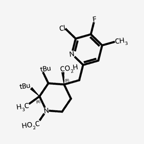 Cc1cc(C[C@]2(C(=O)O)CCN(C(=O)O)[C@@](C)(C(C)(C)C)C2C(C)(C)C)nc(Cl)c1F